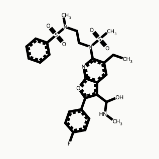 CCc1cc2c(C(O)NC)c(-c3ccc(F)cc3)oc2nc1N(CCN(C)S(=O)(=O)c1ccccc1)S(C)(=O)=O